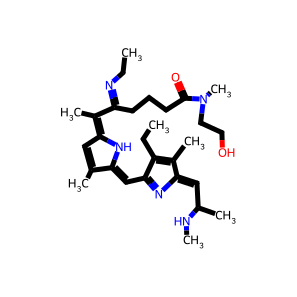 CC/N=C(CCCC(=O)N(C)CCO)/C(C)=c1/cc(C)/c(=C/C2=NC(=C\C(C)NC)/C(C)=C2CC)[nH]1